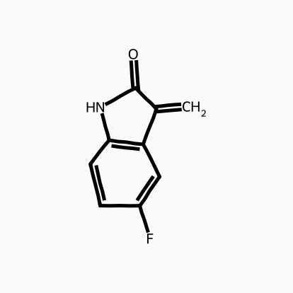 C=C1C(=O)Nc2ccc(F)cc21